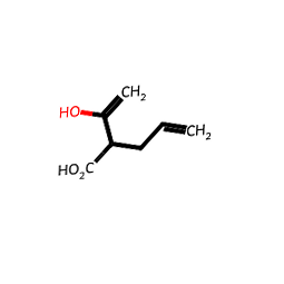 C=CC[C](C(=C)O)C(=O)O